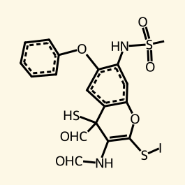 CS(=O)(=O)Nc1cc2c(cc1Oc1ccccc1)C(S)(C=O)C(NC=O)=C(SI)O2